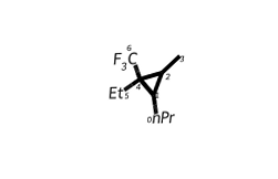 CCCC1C(C)C1(CC)C(F)(F)F